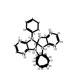 C1=CCCC(N2c3nccnc3N(c3ccccc3)C23Sc2nccnc2N3c2ccccc2)=C1